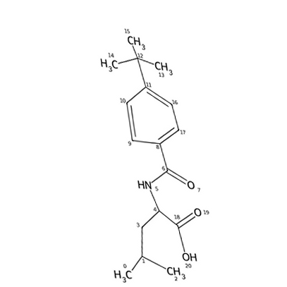 CC(C)CC(NC(=O)c1ccc(C(C)(C)C)cc1)C(=O)O